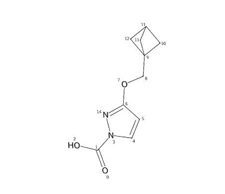 O=C(O)n1ccc(OCC23CC(C2)C3)n1